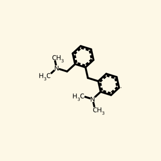 CN(C)Cc1ccccc1Cc1cc[c]cc1N(C)C